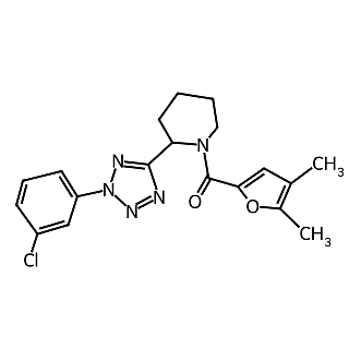 Cc1cc(C(=O)N2CCCCC2c2nnn(-c3cccc(Cl)c3)n2)oc1C